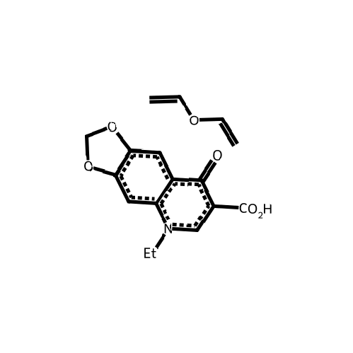 C=COC=C.CCn1cc(C(=O)O)c(=O)c2cc3c(cc21)OCO3